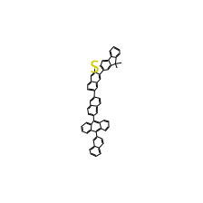 CC1(C)c2ccccc2-c2cc3sc4cc5ccc(-c6ccc7cc(-c8c9ccccc9c(-c9ccc%10ccccc%10c9)c9ccccc89)ccc7c6)cc5cc4c3cc21